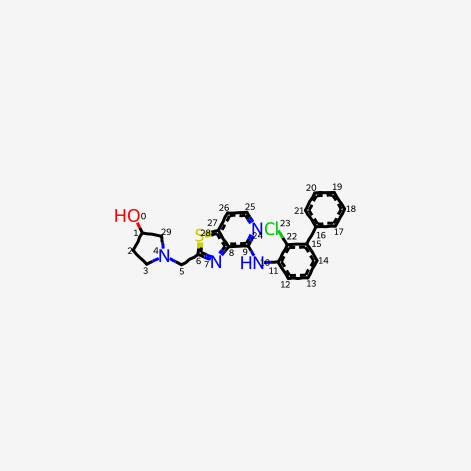 OC1CCN(Cc2nc3c(Nc4cccc(-c5ccccc5)c4Cl)nccc3s2)C1